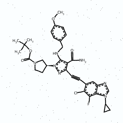 COc1ccc(CNc2c(C(N)=O)c(C#Cc3cc4ncn(C5CC5)c4c(F)c3Cl)nn2[C@H]2CCN(C(=O)OC(C)(C)C)C2)cc1